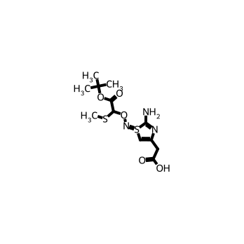 CSC(O/N=S1/C=C(CC(=O)O)N=C1N)C(=O)OC(C)(C)C